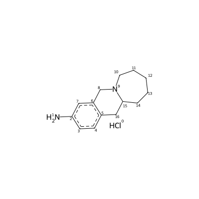 Cl.Nc1ccc2c(c1)CN1CCCCCC1C2